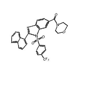 O=C(c1ccc2nc(-c3cccc4ccccc34)n(S(=O)(=O)c3ccc(C(F)(F)F)cc3)c2c1)N1CCOCC1